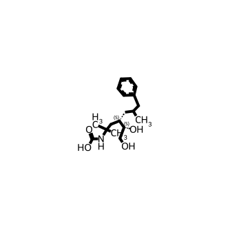 CC(Cc1ccccc1)C[C@@H](CC(C)(C)NC(=O)O)[C@H](O)CO